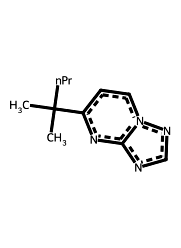 CCCC(C)(C)c1ccn2ncnc2n1